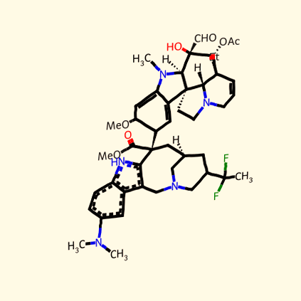 CC[C@]12C=CCN3CC[C@@]4(C5=CC([C@@]6(C(=O)OC)C[C@H]7CC(C(C)(F)F)CN(Cc8c6[nH]c6ccc(N(C)C)cc86)C7)C(OC)C=C5N(C)[C@H]4[C@@](O)(C=O)[C@@H]1OC(C)=O)[C@@H]32